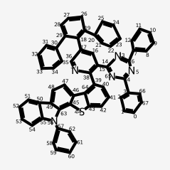 c1ccc(-c2nc(-c3ccccc3)nc(-c3cc(-c4c(-c5ccccc5)cccc4-c4ccccc4)cnc3-c3cccc4sc5c(ccc6c7ccccc7n(-c7ccccc7)c65)c34)n2)cc1